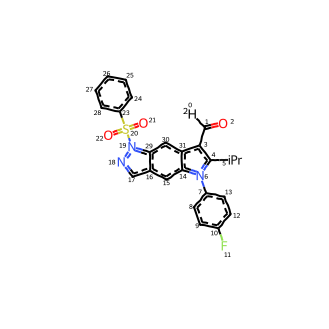 [2H]C(=O)c1c(C(C)C)n(-c2ccc(F)cc2)c2cc3cnn(S(=O)(=O)c4ccccc4)c3cc12